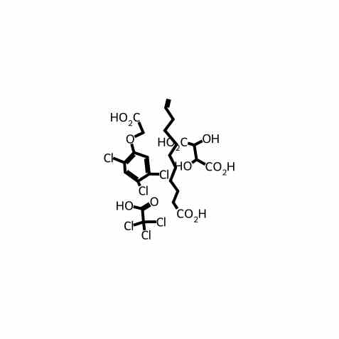 C=CCCCCCCCCC(=O)O.O=C(O)C(Cl)(Cl)Cl.O=C(O)C(O)C(O)C(=O)O.O=C(O)COc1cc(Cl)c(Cl)cc1Cl